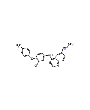 [CH2]/C=C/c1ccc2ncnc(Nc3ccc(Oc4ccc(C)nc4)c(Cl)c3)c2c1